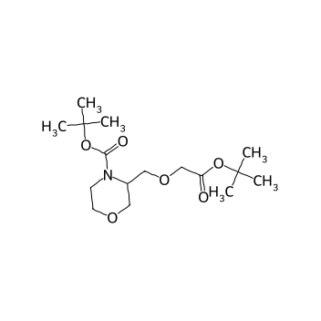 CC(C)(C)OC(=O)COCC1COCCN1C(=O)OC(C)(C)C